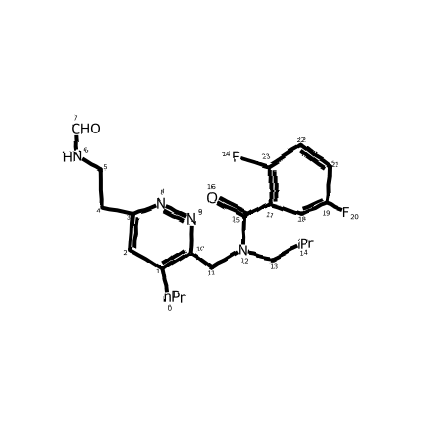 CCCc1cc(CCNC=O)nnc1CN(CC(C)C)C(=O)c1cc(F)ccc1F